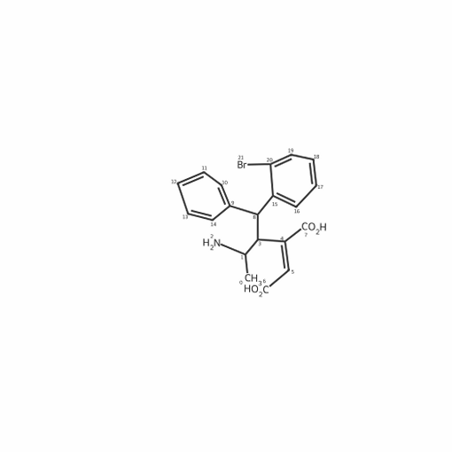 CC(N)C(/C(=C\C(=O)O)C(=O)O)C(c1ccccc1)c1ccccc1Br